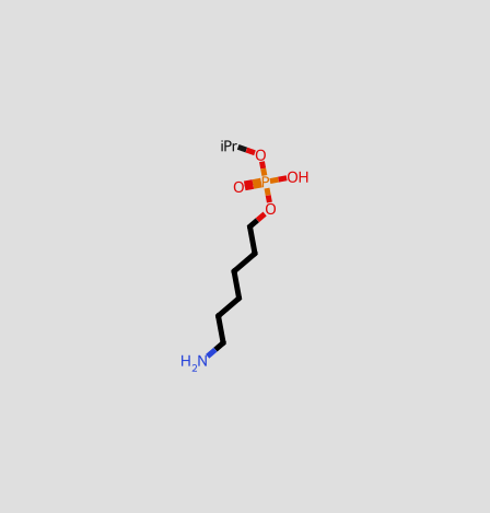 CC(C)OP(=O)(O)OCCCCCCN